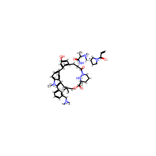 C=CC(=O)N1CC[C@H](CN(C)C(C(=O)N[C@H]2Cc3cc(O)cc(c3)-c3ccc4c(c3)c(c(-c3cccc(CN(C)C)c3)n4CC)CC(C)(C)COC(=O)[C@@H]3CCCN(N3)C2=O)C(C)C)C1